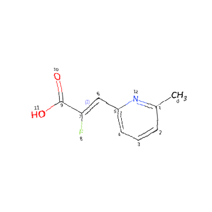 Cc1cccc(/C=C(\F)C(=O)O)n1